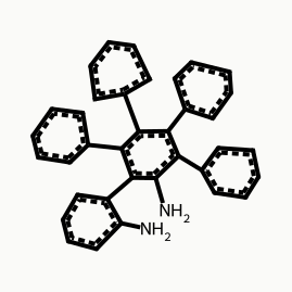 Nc1ccccc1-c1c(N)c(-c2ccccc2)c(-c2ccccc2)c(-c2ccccc2)c1-c1ccccc1